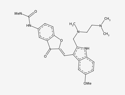 CNC(=O)Nc1ccc2c(c1)C(=O)C(=Cc1c(CN(C)CCN(C)C)[nH]c3ccc(OC)cc13)O2